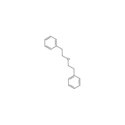 c1ccc(C[CH2][Cr][CH2]Cc2ccccc2)cc1